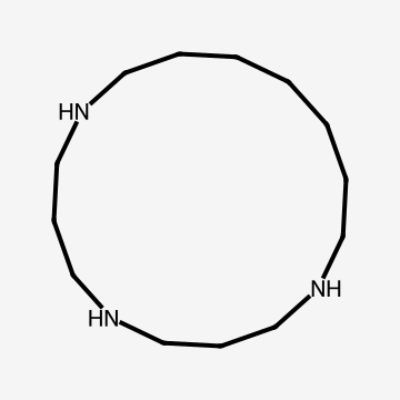 C1CCCNCCCNCCCNCCC1